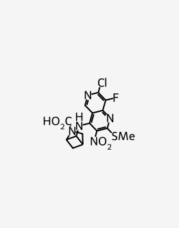 CSc1nc2c(F)c(Cl)ncc2c(NC2C3CC2N(C(=O)O)C3)c1[N+](=O)[O-]